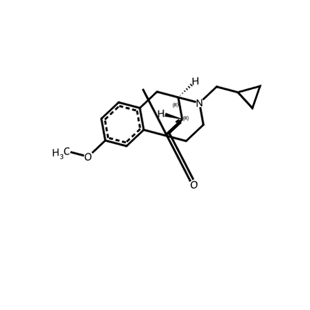 COc1ccc2c(c1)C13CCN(CC4CC4)[C@H](C2)[C@@H]1C=CC(=O)C3